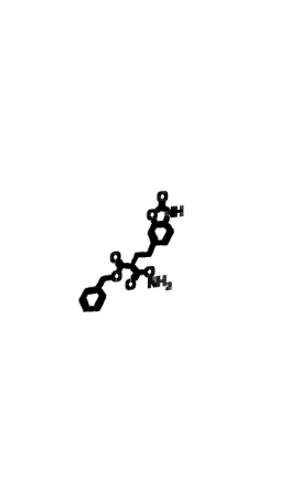 NOC(=O)[C@H](CCc1ccc2[nH]c(=O)oc2c1)C(=O)OCc1ccccc1